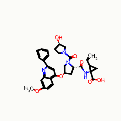 C=CC1C[C@]1(NC(=O)[C@@H]1C[C@@H](Oc2cc(-c3ccccc3)nc3cc(OC)ccc23)CN1C(=O)N1CC[C@@H](O)C1)C(=O)O